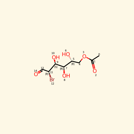 CC(=O)OC[C@@H](O)[C@@H](O)[C@H](O)[C@@H](Br)C=O